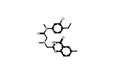 CCc1ccc(N(C)C(=O)CN(C)Cc2nc3ccc(C)cc3c(=O)[nH]2)cc1Cl